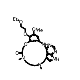 CCOCCOc1c(OC)cc2cc1OCC(=O)N(C)CCCN(C)Cc1c[nH]c3ncnc(c13)N2